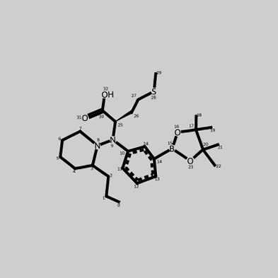 CCCC1CCCCN1N(c1cccc(B2OC(C)(C)C(C)(C)O2)c1)[C@H](CCSC)C(=O)O